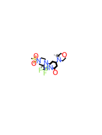 C[C@@H]1COCCN1c1cc(N2CCN(S(C)(=O)=O)C[C@@H]2C(F)(F)F)[nH]c(=O)c1